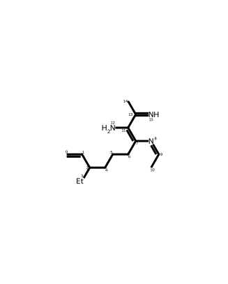 C=CC(CC)CCCC(/N=C\C)=C(\N)C(C)=N